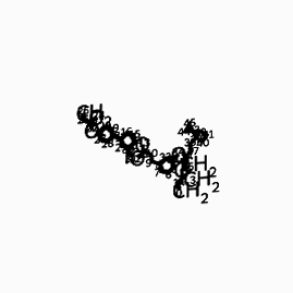 C=CC(=C)Oc1ccc(CCC(=O)Oc2ccc(-c3ccc(OC(=O)C=C)cc3)cc2F)cc1OC(=C)/C=C/C12CCC1C21CC1